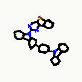 c1ccc2c(c1)sc1cnc(-n3c4ccccc4c4ccc(-c5ccc(-n6c7ccccc7c7ccccc76)cc5)cc43)nc12